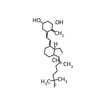 C=C1/C(=C\C=C2/CCC[C@]3(C)[C@@H]([C@H](C)CCCC(C)(C)F)CC[C@@H]23)C[C@@H](O)C[C@@H]1O